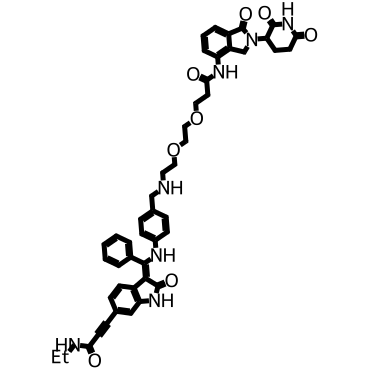 CCNC(=O)C#Cc1ccc2c(c1)NC(=O)/C2=C(\Nc1ccc(CNCCOCCOCCC(=O)Nc2cccc3c2CN(C2CCC(=O)NC2=O)C3=O)cc1)c1ccccc1